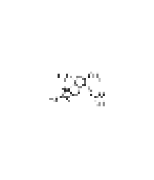 Cc1cc(C)c2c(c1OCC(=O)O)Cc1sc(S)nc1-2